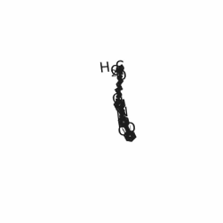 C=CC(=O)OCCCCCCOc1ccc(N=Nc2ccc(S(=O)(=O)c3ccccc3)cc2)cc1